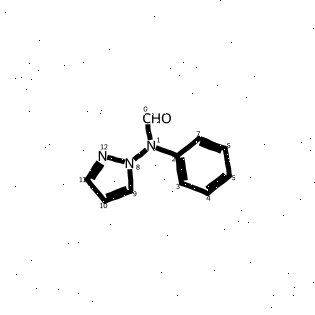 O=CN(c1ccccc1)n1cccn1